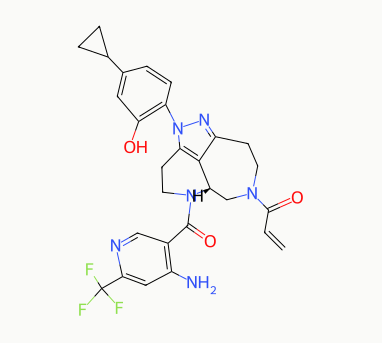 C=CC(=O)N1CCc2nn(-c3ccc(C4CC4)cc3O)c3c2[C@H](C1)N(C(=O)c1cnc(C(F)(F)F)cc1N)CC3